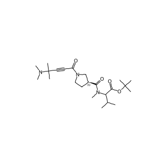 CC(C)C(C(=O)OC(C)(C)C)N(C)C(=O)[C@H]1CCN(C(=O)C#CC(C)(C)N(C)C)C1